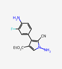 CCOC(=O)c1cn(N)c(C#N)c1-c1ccc(N)c(F)c1